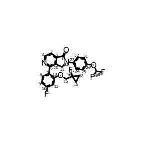 O=C1c2ccnc(-c3ccc(F)cc3OCC3(F)CC3)c2CN1c1ccc(OC(F)F)cc1